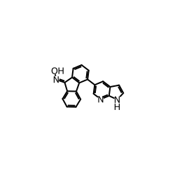 ON=C1c2ccccc2-c2c1cccc2-c1cnc2[nH]ccc2c1